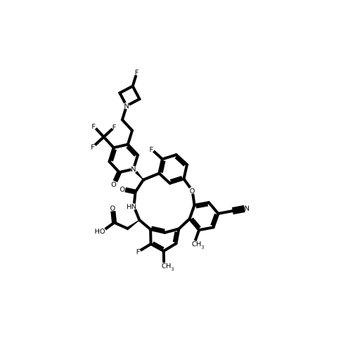 Cc1cc2cc(c1F)[C@@H](CC(=O)O)NC(=O)[C@@H](n1cc(CCN3CC(F)C3)c(C(F)(F)F)cc1=O)c1cc(ccc1F)Oc1cc(C#N)cc(C)c1-2